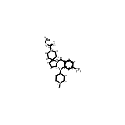 CN1CCC(Oc2cc(C(F)(F)F)ccc2CN2CCCC23CCN(C(=O)OC(C)(C)C)CC3)CC1